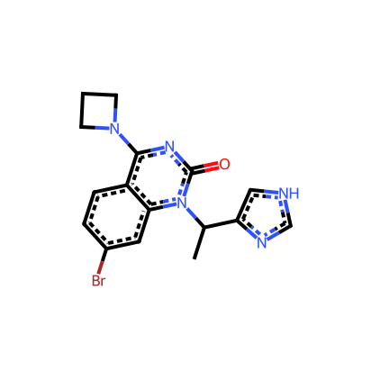 CC(c1c[nH]cn1)n1c(=O)nc(N2CCC2)c2ccc(Br)cc21